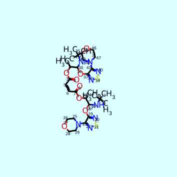 CC(OC(=O)/C=C\C(=O)OC(C)C(NC(C)(C)C)Oc1nsnc1N1CCOCC1)C(NC(C)(C)C)Oc1nsnc1N1CCOCC1